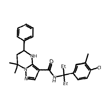 CCC(CC)(NC(=O)c1cnn2c1NC(c1ccccc1)CC2(C)C)c1ccc(Cl)c(C)c1